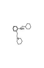 c1ccc(NCC2CCCCC2)c(CCN2CCCCC2)c1